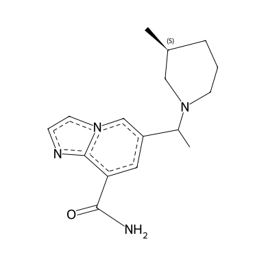 CC(c1cc(C(N)=O)c2nccn2c1)N1CCC[C@H](C)C1